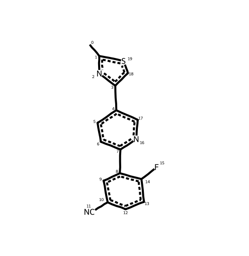 Cc1nc(-c2ccc(-c3cc(C#N)ccc3F)nc2)cs1